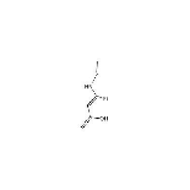 C=CN/C(=C/C(=C)O)CC